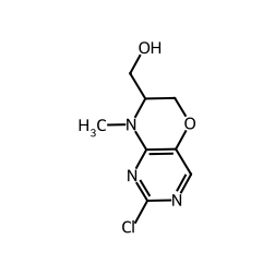 CN1c2nc(Cl)ncc2OCC1CO